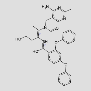 C/C(=C(CCO)/[SH]=C(\O)c1ccc(Oc2ccccc2)cc1Oc1ccccc1)N(C=O)Cc1cnc(C)nc1N